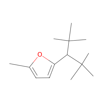 Cc1ccc(C(C(C)(C)C)C(C)(C)C)o1